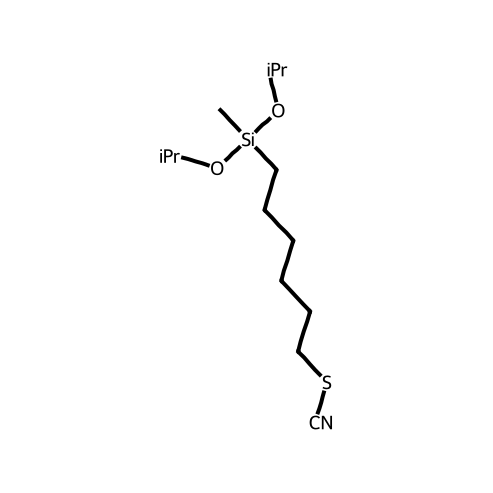 CC(C)O[Si](C)(CCCCCCSC#N)OC(C)C